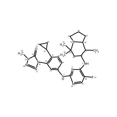 CC1C(Nc2nc(Nc3ccc(C4CC4)c(-n4nnn(C)c4=O)c3)ncc2F)CC(C)(C)N2CCCC12